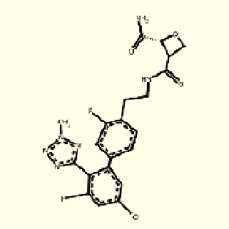 Cn1nnc(-c2c(F)cc(Cl)cc2-c2ccc(CCNC(=O)[C]3CO[C@H]3C(N)=O)c(F)c2)n1